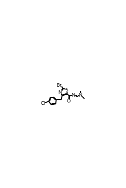 CN(C)C=NC(=O)c1sc(Br)nc1Cc1ccc(Cl)cc1